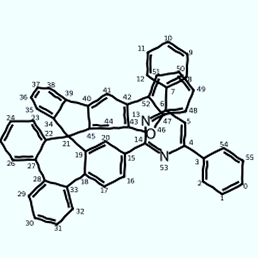 c1ccc(-c2cc(-c3ccccc3)nc(-c3ccc4c(c3)C3(c5ccccc5-c5ccccc5-4)c4ccccc4-c4cc5c(cc43)oc3ccccc35)n2)cc1